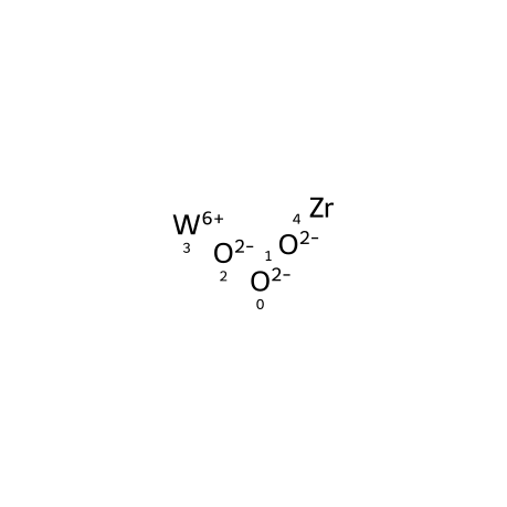 [O-2].[O-2].[O-2].[W+6].[Zr]